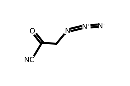 N#CC(=O)CN=[N+]=[N-]